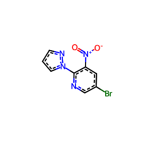 O=[N+]([O-])c1cc(Br)cnc1-n1cccn1